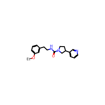 CCOc1cccc(CCNC(=O)N2CCC(c3cccnc3)C2)c1